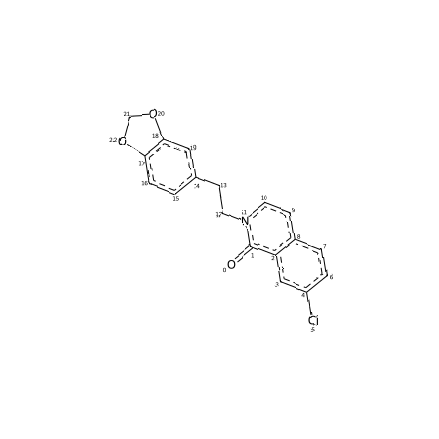 O=c1c2cc(Cl)ccc2ccn1CCc1ccc2c(c1)OCO2